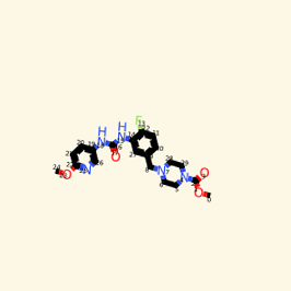 COC(=O)N1CCN(Cc2ccc(F)c(NC(=O)Nc3ccc(OC)nc3)c2)CC1